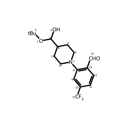 CC(C)(C)OC(O)C1CCN(c2cc(C(F)(F)F)ccc2C=O)CC1